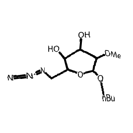 CCCCOC1OC(CN=[N+]=[N-])C(O)C(O)C1OC